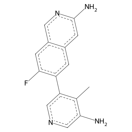 Cc1c(N)cncc1-c1cc2cc(N)ncc2cc1F